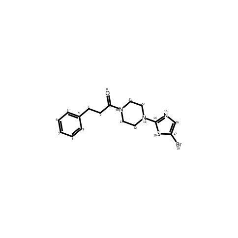 O=C(CCc1ccccc1)N1CCN(c2ncc(Br)s2)CC1